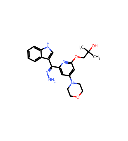 CC(C)(O)COc1cc(N2CCOCC2)cc(C(=NN)c2c[nH]c3ccccc23)n1